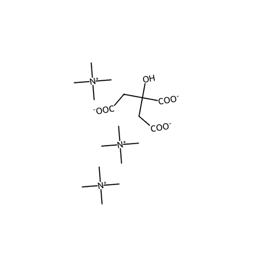 C[N+](C)(C)C.C[N+](C)(C)C.C[N+](C)(C)C.O=C([O-])CC(O)(CC(=O)[O-])C(=O)[O-]